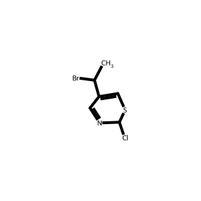 CC(Br)C1=CSC(Cl)N=C1